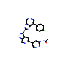 CCC(=O)Nc1cncc(-c2cc3c(-c4nc5c(-c6ccc(F)cc6)cncc5[nH]4)n[nH]c3cn2)c1